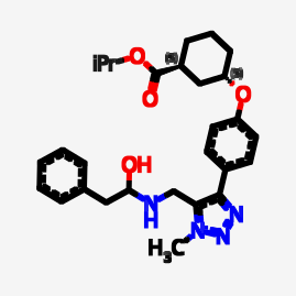 CC(C)OC(=O)[C@H]1CCC[C@H](Oc2ccc(-c3nnn(C)c3CNC(O)Cc3ccccc3)cc2)C1